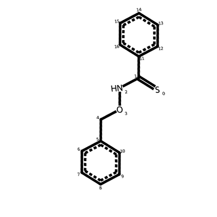 S=C(NOCc1ccccc1)c1ccccc1